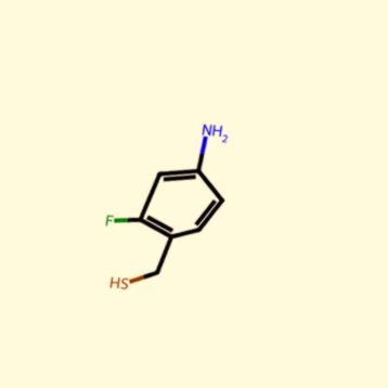 Nc1ccc(CS)c(F)c1